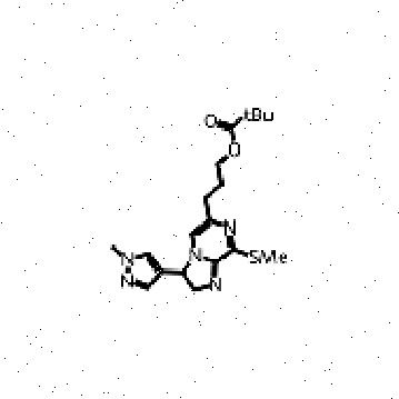 CSC1=NC(CCCOC(=O)C(C)(C)C)=CN2C1=NCC2c1cnn(C)c1